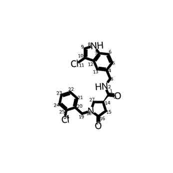 O=C(NCc1ccc2[nH]cc(Cl)c2c1)[C@H]1CC(=O)N(Cc2ccccc2Cl)C1